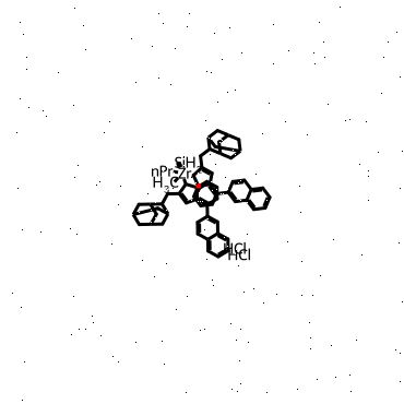 CC[CH2][Zr]([CH3])(=[SiH2])([CH]1C(CC2C3CC4CC(C3)CC2C4)=Cc2c(-c3ccc4ccccc4c3)cccc21)[CH]1C(CC2C3CC4CC(C3)CC2C4)=Cc2c(-c3ccc4ccccc4c3)cccc21.Cl.Cl